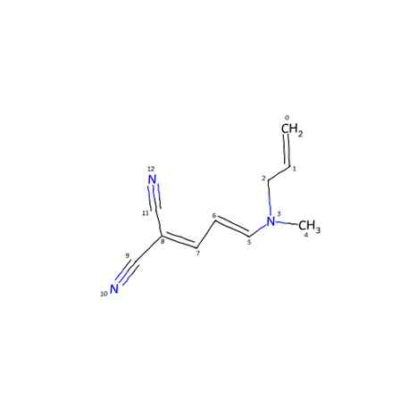 C=CCN(C)/C=C/C=C(C#N)C#N